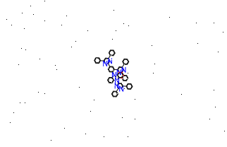 c1ccc(-c2cc(-c3ccccc3)nc(-c3ccc(N4c5ccccc5N(c5cc(-c6ccccc6)nc(-c6ccccc6)n5)c5ccccc54)c(-c4cc(-c5ccccc5)nc(-c5ccccc5)n4)c3)n2)cc1